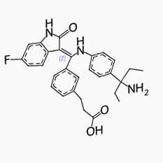 CCC(N)(CC)c1ccc(N/C(=C2\C(=O)Nc3cc(F)ccc32)c2cccc(CCC(=O)O)c2)cc1